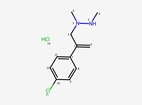 C=C(CN(C)NC)c1ccc(Cl)cc1.Cl